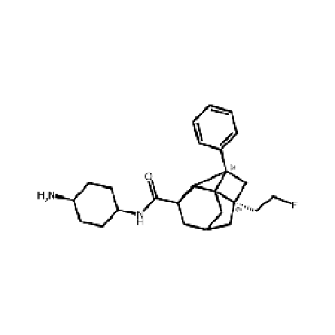 N[C@H]1CC[C@@H](NC(=O)C23CC4CC5(C2)[C@](CCF)(C4)C[C@@]5(c2ccccc2)C3)CC1